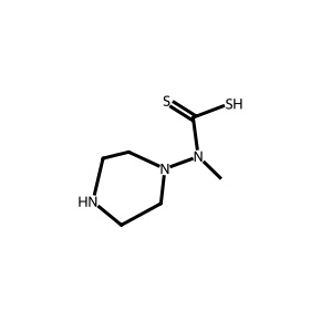 CN(C(=S)S)N1CCNCC1